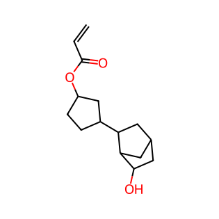 C=CC(=O)OC1CCC(C2CC3CC(O)C2C3)C1